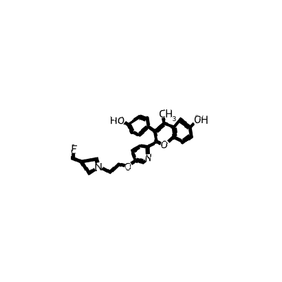 CC1=C(c2ccc(O)cc2)C(c2ccc(OCCN3CC(CF)C3)cn2)Oc2ccc(O)cc21